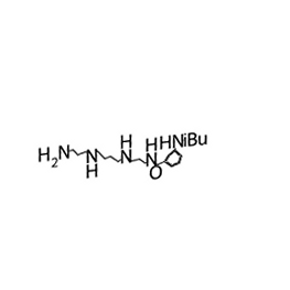 CCC(C)Nc1cccc(C(=O)NCCCNCCCCNCCCN)c1